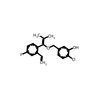 C=Cc1cc(F)ccc1C(OCc1ccc(Cl)c(O)c1)=C(C)C